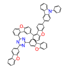 c1ccc(-n2c3ccccc3c3cc(-c4ccc5c(c4)oc4cccc(-c6ccc7oc8cccc(-c9nc(-c%10ccc%11c(c%10)oc%10ccccc%10%11)nc(-c%10ccc%11c(c%10)oc%10ccccc%10%11)n9)c8c7c6)c45)ccc32)cc1